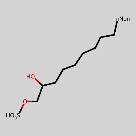 CCCCCCCCCCCCCCCCC(O)COS(=O)(=O)O